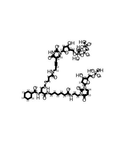 O=C(CCSSCC(NC(=O)C1CCCCC1)C(=O)NCCCCCC(=O)NCCn1c(=O)ccn(C2CC(O)C(COP(=O)(O)O)O2)c1=O)NCC#Cc1cn(C2CC(O)C(COP(=O)(O)OP(=O)(O)OP(=O)(O)O)O2)c(=O)[nH]c1=O